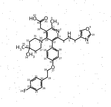 Cc1nc(CNCc2cocn2)c(-c2ccc(OCCc3ccc(F)cc3)cc2)c(N2CCC(C)(C)CC2)c1CC(=O)O